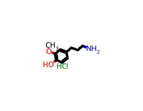 COc1cc(CCCN)ccc1O.Cl